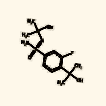 CC(C)(O)c1ccc(S(N)(=O)=N[Si](C)(C)C(C)(C)C)cc1F